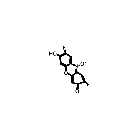 O=c1cc2oc3cc(O)c(F)cc3[n+]([O-])c-2cc1F